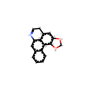 C1=Nc2cc3ccccc3c3c4c(cc(c23)C1)OCO4